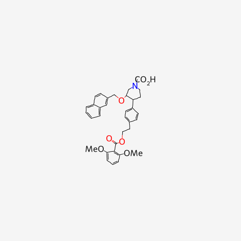 COc1cccc(OC)c1C(=O)OCCc1ccc(C2CCN(C(=O)O)CC2OCc2ccc3ccccc3c2)cc1